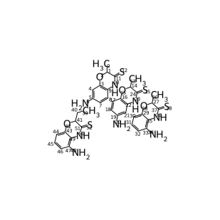 CC1Oc2cc(N)ccc2NC1=S.CC1Oc2ccc(N)cc2NC1=S.CC1Oc2cccc(N)c2NC1=S.CCC1Oc2cccc(N)c2NC1=S